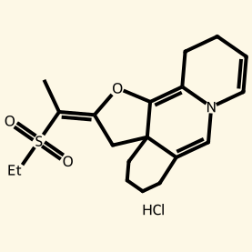 CCS(=O)(=O)/C(C)=C1\CC23CCCCC2=CN2C=CCCC2=C3O1.Cl